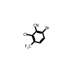 N#Cc1c(Br)ccc(C(F)(F)F)c1Cl